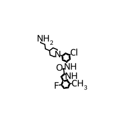 Cc1ccc(F)c2cc(C(=O)Nc3cc(Cl)cc(N4CCC(CCCN)CC4)c3)[nH]c12